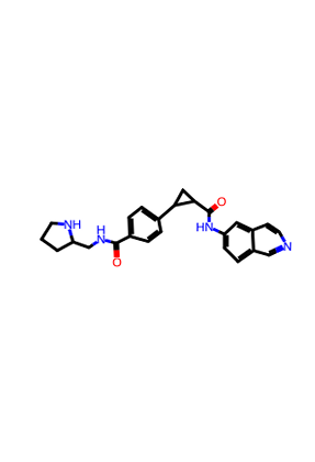 O=C(NCC1CCCN1)c1ccc(C2CC2C(=O)Nc2ccc3cnccc3c2)cc1